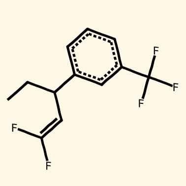 CCC(C=C(F)F)c1cccc(C(F)(F)F)c1